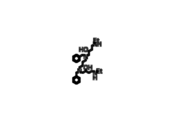 CCNCCC(O)CN(CCCCN(Cc1ccccc1)CC(O)CCNCC)Cc1ccccc1